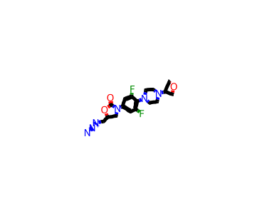 [N-]=[N+]=NCC1CN(c2cc(F)c(N3CCN(C4COC4)CC3)c(F)c2)C(=O)O1